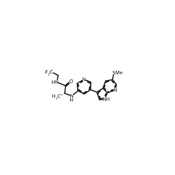 CSc1cnc2[nH]cc(-c3cncc(N[C@H](C)C(=O)NCC(F)(F)F)c3)c2c1